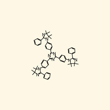 CC1(C)N=C(c2ccccc2)N(c2ccc(-c3nc(-c4ccc(N5C(c6ccccc6)=NC(C)(C)C5(C)C)cc4)nc(-c4ccc(N5C(c6ccccc6)=NC(C)(C)C5(C)C)cc4)n3)cc2)C1(C)C